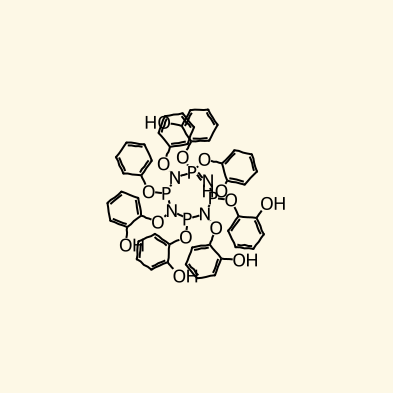 Oc1ccccc1ON1P(Oc2ccccc2O)N=P(Oc2ccccc2O)(Oc2ccccc2O)N(Oc2ccccc2)P(Oc2ccccc2)N(Oc2ccccc2O)P1Oc1ccccc1O